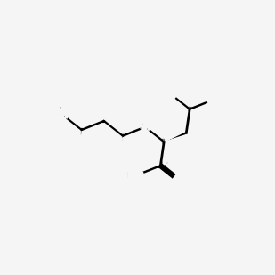 CC(C)C[C@H](NCCCN)C(=O)O